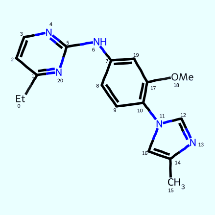 CCc1ccnc(Nc2ccc(-n3cnc(C)c3)c(OC)c2)n1